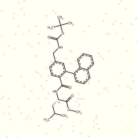 COC(=O)[C@H](CC(C)C)NC(=O)c1ccc(CNC(=O)OC(C)(C)C)cc1-c1cccc2ccccc12